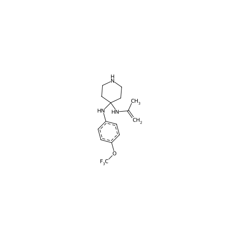 C=C(C)NC1(Nc2ccc(OC(F)(F)F)cc2)CCNCC1